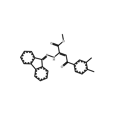 COC(=O)/C(=C/C(=O)c1ccc(C)c(C)c1)NN=C1c2ccccc2-c2ccccc21